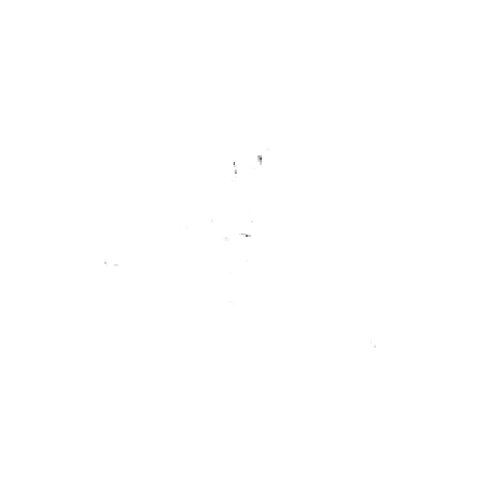 COc1cc2c(cc1O)C(=NOCc1ccc([N+](=O)[O-])cc1)C[C@@H]1[C@@H]2CC[C@]2(C)[C@@H](OC(C)=O)CC[C@@H]12